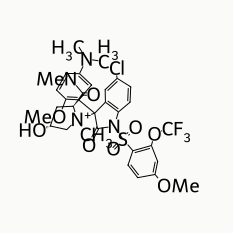 CNC(=O)[C@@H]1C[C@@H](O)C[N+]1(C)C1(c2cc(N(C)C)ccc2OC)C(=O)N(S(=O)(=O)c2ccc(OC)cc2OC(F)(F)F)c2ccc(Cl)cc21